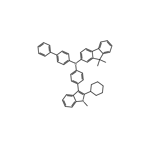 Cn1c(C2CCCCC2)c(-c2ccc(N(c3ccc(-c4ccccc4)cc3)c3ccc4c(c3)C(C)(C)c3ccccc3-4)cc2)c2ccccc21